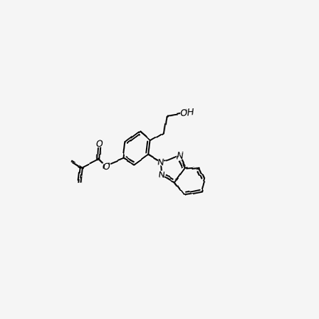 C=C(C)C(=O)Oc1ccc(CCO)c(-n2nc3ccccc3n2)c1